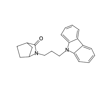 O=C1C2CCC(C2)N1CCCn1c2ccccc2c2ccccc21